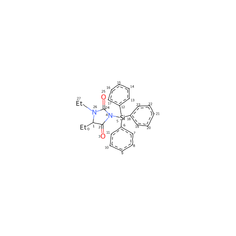 CCC1C(=O)N([Si](c2ccccc2)(c2ccccc2)c2ccccc2)C(=O)N1CC